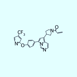 C=CC(=O)N1CCC(c2cc(-c3ccc(Oc4cc(C(F)(F)F)ccn4)cc3)n3cnccc23)C1